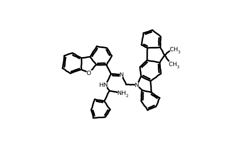 CC1(C)c2ccccc2-c2cc3c(cc21)c1ccccc1n3C/N=C(\NC(N)c1ccccc1)c1cccc2c1oc1ccccc12